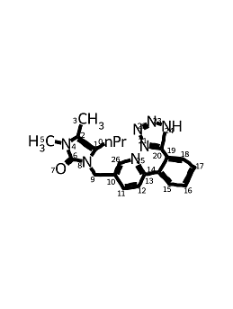 CCCc1c(C)n(C)c(=O)n1Cc1ccc(-c2ccccc2-c2nnn[nH]2)nc1